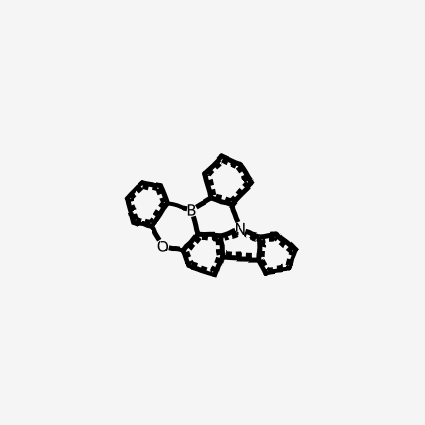 c1ccc2c(c1)Oc1ccc3c4ccccc4n4c3c1B2c1ccccc1-4